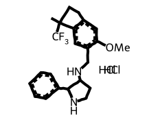 COc1cc2c(cc1CNC1CCNC1c1ccccc1)C(C)(C(F)(F)F)CC2.Cl.Cl